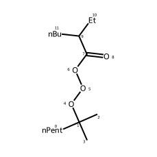 CCCCCC(C)(C)OOOC(=O)C(CC)CCCC